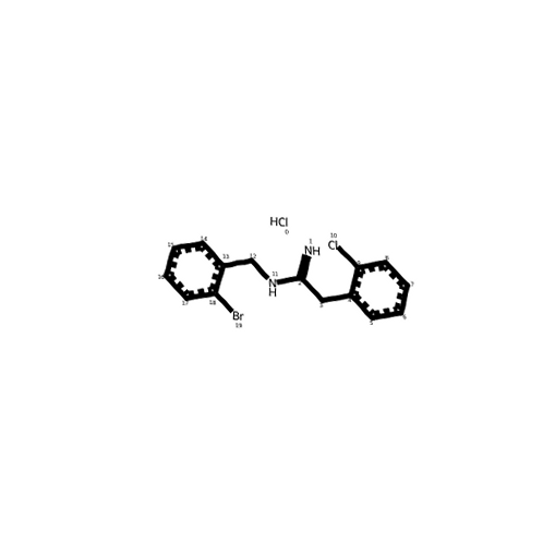 Cl.N=C(Cc1ccccc1Cl)NCc1ccccc1Br